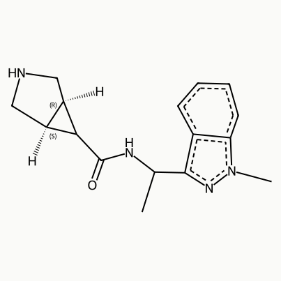 CC(NC(=O)C1[C@H]2CNC[C@@H]12)c1nn(C)c2ccccc12